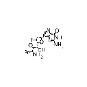 CC(C)[C@H](N)C(=O)C(O)[C@H]1O[C@@H](n2cnc3c(=O)[nH]c(N)nc32)CC1F